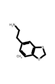 C.NCCc1ccc2c(c1)OCO2